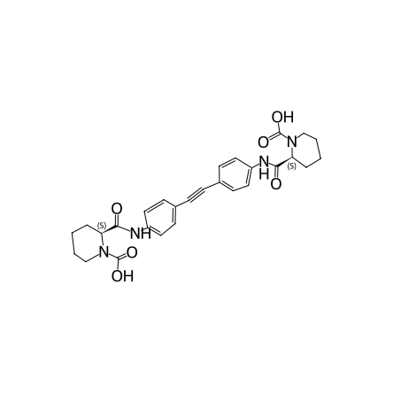 O=C(Nc1ccc(C#Cc2ccc(NC(=O)[C@@H]3CCCCN3C(=O)O)cc2)cc1)[C@@H]1CCCCN1C(=O)O